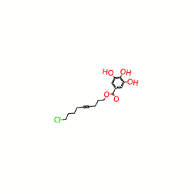 O=C(OCCCC#CCCCCCl)c1cc(O)c(O)c(O)c1